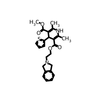 COC(=O)C1=C(C)NC(C)=C(C(=O)OCCN2Cc3ccccc3C2)C1c1cccs1